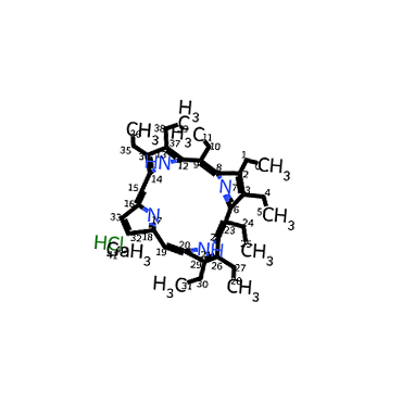 CCC1=C(CC)c2nc1c(CC)c1[nH]c(cc3nc(cc4[nH]c(c2CC)c(CC)c4CC)C=C3)c(CC)c1CC.Cl.[GaH3]